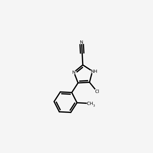 Cc1ccccc1-c1nc(C#N)[nH]c1Cl